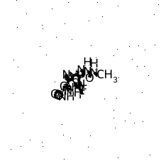 CCNC(=O)Nc1cc(-c2nc(C(F)(F)F)cs2)c(-c2cncc(-c3nnc([C@@H]4COCCN4)o3)c2)cn1